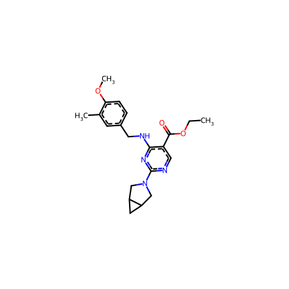 CCOC(=O)c1cnc(N2CC3CC3C2)nc1NCc1ccc(OC)c(C)c1